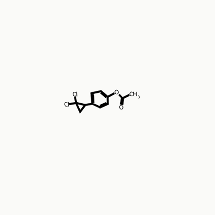 CC(=O)Oc1ccc(C2CC2(Cl)Cl)cc1